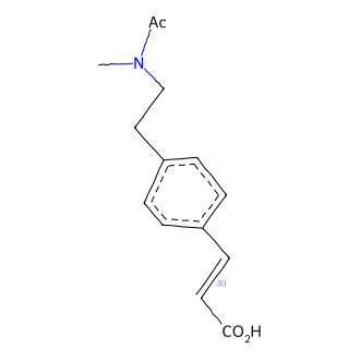 CC(=O)N(C)CCc1ccc(/C=C/C(=O)O)cc1